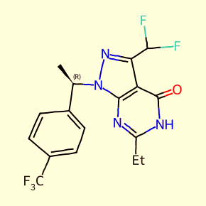 CCc1nc2c(c(C(F)F)nn2[C@H](C)c2ccc(C(F)(F)F)cc2)c(=O)[nH]1